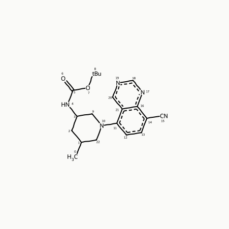 CC1CC(NC(=O)OC(C)(C)C)CN(c2ccc(C#N)c3ncncc23)C1